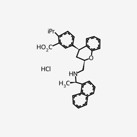 CC(C)c1ccc([C@@H]2C[C@H](CN[C@H](C)c3cccc4ccccc34)Oc3ccccc32)cc1C(=O)O.Cl